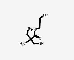 CC(CS)(CS)C(=O)NCCO